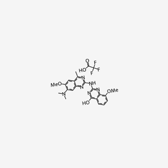 COc1cc2c(C)nc(Nc3nc(O)c4cccc(OC)c4n3)nc2cc1N(C)C.O=C(O)C(F)(F)F